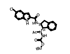 CC(=O)N(NC(=O)OC(C)(C)C)[C@@H]1c2ccccc2C[C@H]1NC(=O)c1cc2cc(Cl)ccc2[nH]1